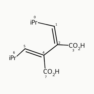 CC(C)C=C(C(=O)O)C(=CC(C)C)C(=O)O